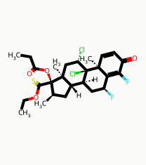 CCOC(=S)[C@@]1(OC(=O)CC)[C@H](C)C[C@H]2[C@@H]3C[C@H](F)C4=C(F)C(=O)C=C[C@]4(C)[C@@]3(Cl)[C@@H](Cl)C[C@@]21C